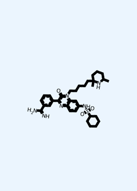 CC1CCCC(C)(CCCCCn2c(=O)c(-c3cccc(C(=N)N)c3)nc3ccc(NS(=O)(=O)C4CCCCC4)cc32)N1